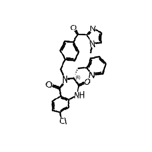 Cn1ccnc1C(=O)c1ccc(CN2C(=O)c3ccc(Cl)cc3NC(=O)[C@H]2Cc2ccccn2)cc1